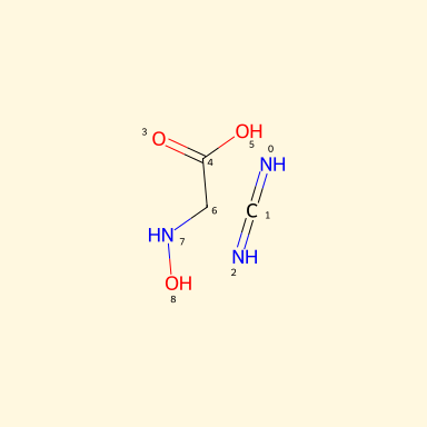 N=C=N.O=C(O)CNO